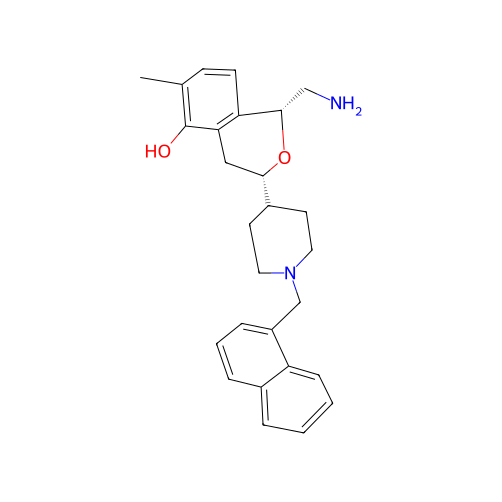 Cc1ccc2c(c1O)C[C@@H](C1CCN(Cc3cccc4ccccc34)CC1)O[C@H]2CN